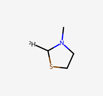 [2H]C1SCCN1C